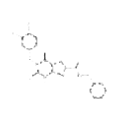 Cn1c(=O)n(Cc2ccc(F)c(F)c2)c(=O)c2cc(C(=O)NCc3ccccc3)[nH]c21